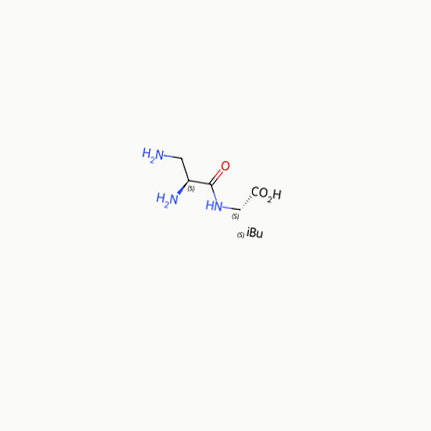 CC[C@H](C)[C@H](NC(=O)[C@@H](N)CN)C(=O)O